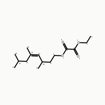 CCOC(=O)C(=O)OCCC(C)C=C(C)CC(C)C